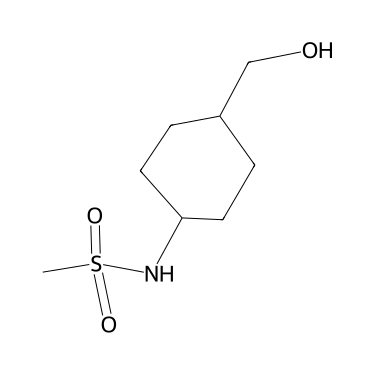 CS(=O)(=O)NC1CCC(CO)CC1